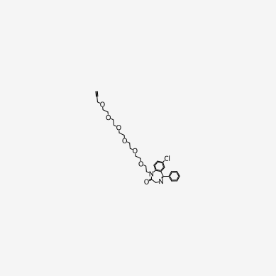 C#CCOCCOCCOCCOCCOCCOCCN1C(=O)CN=C(c2ccccc2)c2cc(Cl)ccc21